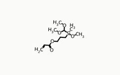 C=CC(=O)OCCC[Si](C)(OC)C(OC)OC